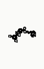 O=C(OCCCc1ccncc1)c1ccc2nc(-c3cc(Cl)cc(Cl)c3)oc2c1